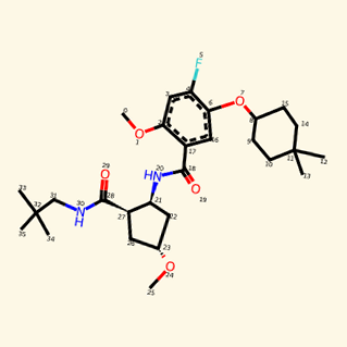 COc1cc(F)c(OC2CCC(C)(C)CC2)cc1C(=O)N[C@H]1C[C@H](OC)C[C@H]1C(=O)NCC(C)(C)C